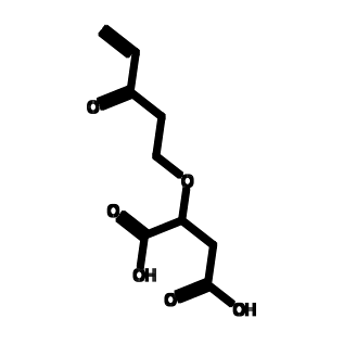 C=CC(=O)CCOC(CC(=O)O)C(=O)O